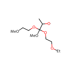 CCOCCOC(OC)(OCCOC)C(C)[O]